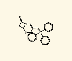 O=C1CC2SCC(C=P(c3ccccc3)(c3ccccc3)c3ccccc3)=CN12